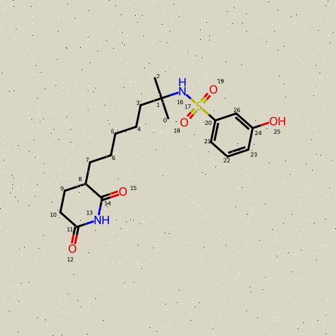 CC(C)(CCCCCC1CCC(=O)NC1=O)NS(=O)(=O)c1cccc(O)c1